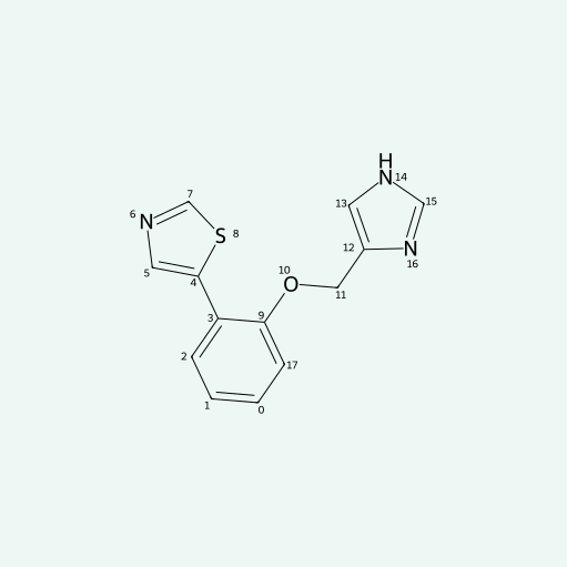 c1ccc(-c2cncs2)c(OCc2c[nH]cn2)c1